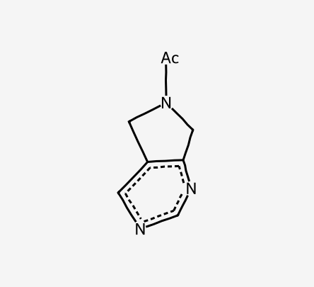 CC(=O)N1Cc2cncnc2C1